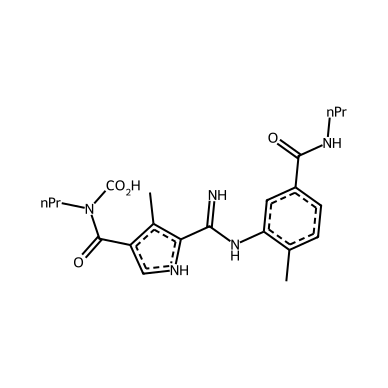 CCCNC(=O)c1ccc(C)c(NC(=N)c2[nH]cc(C(=O)N(CCC)C(=O)O)c2C)c1